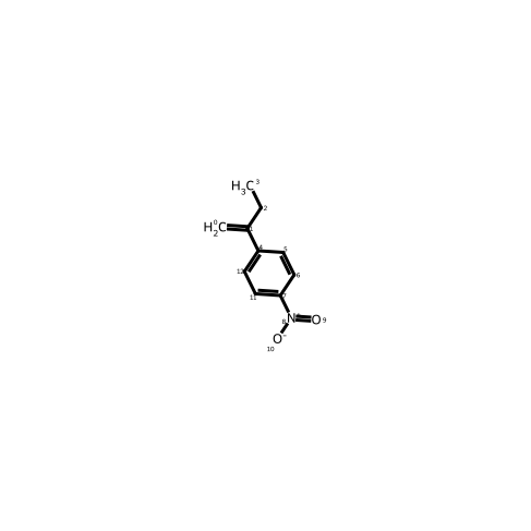 C=C(CC)c1ccc([N+](=O)[O-])cc1